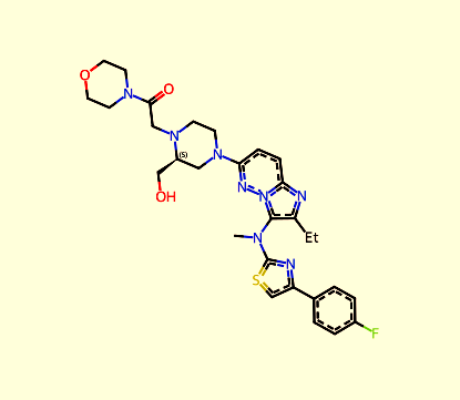 CCc1nc2ccc(N3CCN(CC(=O)N4CCOCC4)[C@H](CO)C3)nn2c1N(C)c1nc(-c2ccc(F)cc2)cs1